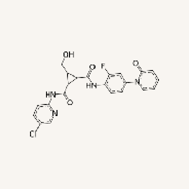 O=C(Nc1ccc(Cl)cn1)C1C(CO)C1C(=O)Nc1ccc(-n2ccccc2=O)cc1F